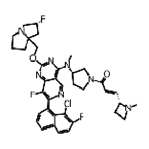 CN1CC[C@@H]1/C=C/C(=O)N1CC[C@@H](N(C)c2nc(OCC34CCCN3C[C@H](F)C4)nc3c(F)c(-c4cccc5ccc(F)c(Cl)c45)ncc23)C1